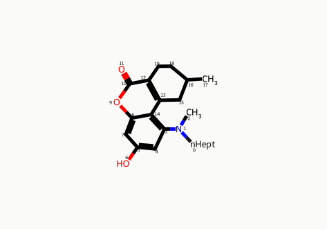 CCCCCCCN(C)c1cc(O)cc2oc(=O)c3c(c12)CC(C)CC3